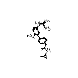 CC1CC1NC(=O)Cc1ccc(-c2cc(NC(=N)N)ccc2C(=O)O)cc1